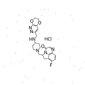 Cl.O=c1cnc2ccc(F)c3c2n1C(CN1CCC(NCc2cc4c(nn2)OCCO4)CC1)C3